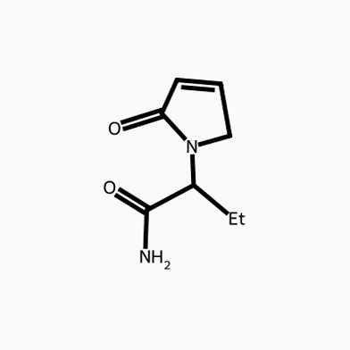 CCC(C(N)=O)N1CC=CC1=O